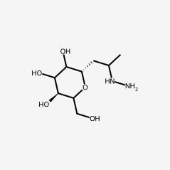 CC(C[C@@H]1OC(CO)[C@@H](O)C(O)C1O)NN